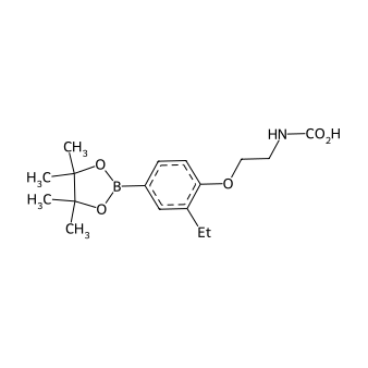 CCc1cc(B2OC(C)(C)C(C)(C)O2)ccc1OCCNC(=O)O